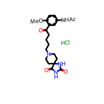 COc1ccc(NC(C)=O)cc1C(=O)CCCCN1CCC2(CC1)NC(=O)NC2=O.Cl